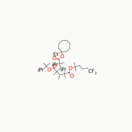 CCC1(OC(=O)C(C)(CC(C)(C(=O)OC(C)(C)C(C)C)C(C)C(C)(C(=O)OC(C)(C)CCCC(F)(F)F)C(C)C)C(C)C)CCCCCCC1